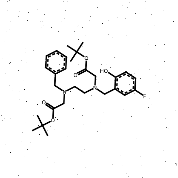 CC(C)(C)OC(=O)CN(CCN(CC(=O)OC(C)(C)C)Cc1cc(F)ccc1O)Cc1ccccc1